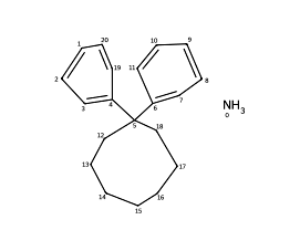 N.c1ccc(C2(c3ccccc3)CCCCCCC2)cc1